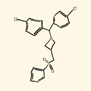 O=S(=O)(CC1CN(C(c2ccc(Cl)cc2)c2ccc(Cl)cc2)C1)c1cccnc1